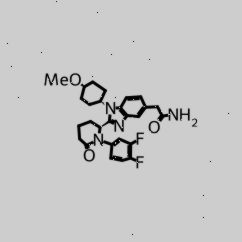 CO[C@H]1CC[C@H](n2c([C@@H]3CCCC(=O)N3c3ccc(F)c(F)c3)nc3cc(CC(N)=O)ccc32)CC1